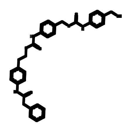 O=C(Cc1ccccc1)Nc1ccc(CCOC(=O)Nc2ccc(COC(=O)Nc3ccc(CO)cc3)cc2)cc1